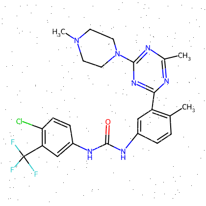 Cc1nc(-c2cc(NC(=O)Nc3ccc(Cl)c(C(F)(F)F)c3)ccc2C)nc(N2CCN(C)CC2)n1